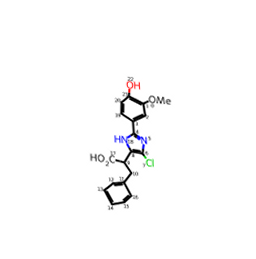 COc1cc(-c2nc(Cl)c(C(Cc3ccccc3)C(=O)O)[nH]2)ccc1O